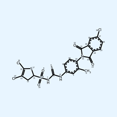 Cc1cc(NC(=S)NS(=O)(=O)C2CC(Cl)=C(Cl)S2)ccc1N1C(=O)c2ccc(Cl)cc2C1=O